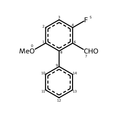 COc1ccc(F)c(C=O)c1-c1ccccc1